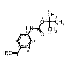 C=Cc1ccc(NC(=O)OC(C)(C)C)nn1